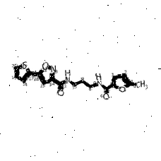 Cc1ccc(C(=O)NCCCNC(=O)c2cc(-c3cccs3)on2)o1